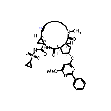 COc1cc(O[C@@H]2C[C@H]3C(=O)N[C@]4(C(=O)NS(=O)(=O)C5CC5)C[C@H]4/C=C\CCCCN(C)C(=O)[C@@H]3C2)nc(-c2ccccc2)n1